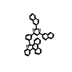 c1cc(-c2cc(-c3ccc4ccccc4c3)nc(-c3ccc4ccccc4c3)n2)cc(-c2nc3ccccc3c3c4ccccc4c4ccccc4c23)c1